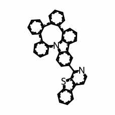 c1ccc2c(c1)sc1c(-c3ccc4c(c3)c3cccc5c6ccccc6c6ccccc6c6ccccc6n4c53)nccc12